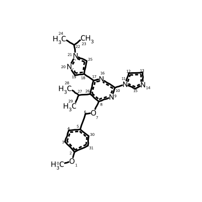 COc1ccc(COc2nc(-n3ccnc3)nc(-c3cnn(C(C)C)c3)c2C(C)C)cc1